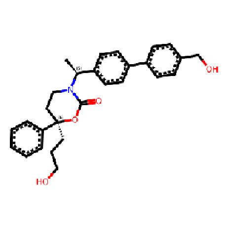 C[C@@H](c1ccc(-c2ccc(CO)cc2)cc1)N1CC[C@](CCCO)(c2ccccc2)OC1=O